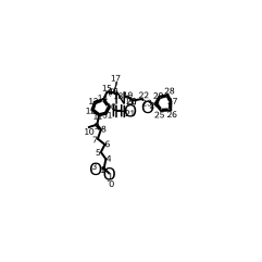 COC(=O)CCCCC=C(C)c1ccc(C[C@@H](C)NC[C@H](O)COc2ccccc2)cc1